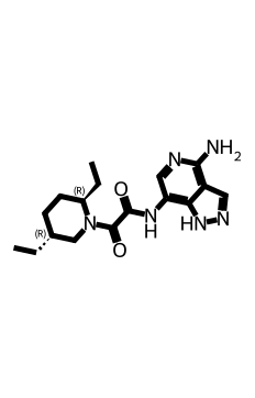 CC[C@@H]1CC[C@@H](CC)N(C(=O)C(=O)Nc2cnc(N)c3cn[nH]c23)C1